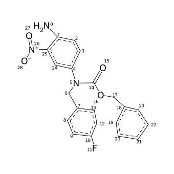 Nc1ccc(N(Cc2ccc(F)cc2)C(=O)OCc2ccccc2)cc1[N+](=O)[O-]